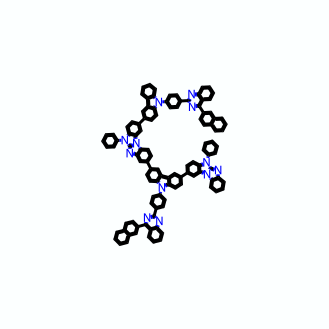 c1ccc(-n2c3ccc(-c4ccc5c(c4)c4cc(-c6ccc7c(c6)nc6n(-c8ccccc8)c8ccc(-c9ccc%10c(c9)c9ccccc9n%10-c9ccc(-c%10nc(-c%11ccc%12ccccc%12c%11)c%11ccccc%11n%10)cc9)cc8n76)ccc4n5-c4ccc(-c5nc(-c6ccc7ccccc7c6)c6ccccc6n5)cc4)cc3n3c4ccccc4nc23)cc1